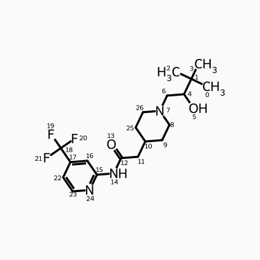 CC(C)(C)C(O)CN1CCC(CC(=O)Nc2cc(C(F)(F)F)ccn2)CC1